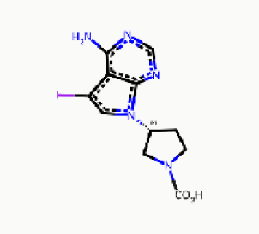 Nc1ncnc2c1c(I)cn2[C@@H]1CCN(C(=O)O)C1